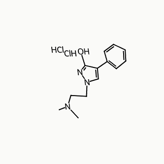 CN(C)CCn1cc(-c2ccccc2)c(O)n1.Cl.Cl